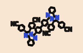 N#Cc1ccc(-c2nc3c4ccccc4nc(-c4ccc(-c5ccc(-c6nc7ccccc7c7nc(-c8ccc(C#N)cc8)c(-c8ccc(C#N)cc8)n67)cc5)cc4)n3c2-c2ccc(C#N)cc2)cc1